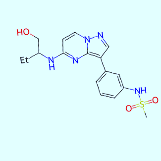 CCC(CO)Nc1ccn2ncc(-c3cccc(NS(C)(=O)=O)c3)c2n1